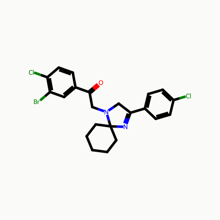 O=C(CN1CC(c2ccc(Cl)cc2)=NC12CCCCC2)c1ccc(Cl)c(Br)c1